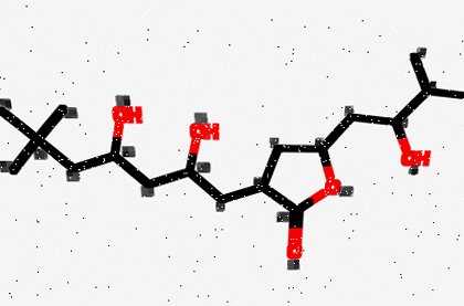 CC(C)C(O)CC1CC(CC(O)CC(O)CC(C)(C)C)C(=O)O1